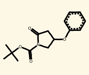 CC(C)(C)OC(=O)N1CC(Oc2ccccc2)CC1=O